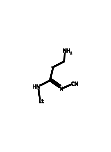 CCNC([CH]CN)=NC#N